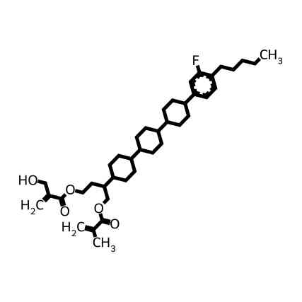 C=C(C)C(=O)OCC(CCOC(=O)C(=C)CO)C1CCC(C2CCC(C3CCC(c4ccc(CCCCC)c(F)c4)CC3)CC2)CC1